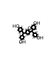 Oc1ccc(C(c2ccc(O)cc2)c2ccc(C(c3ccc(O)cc3)c3ccc(O)cc3)c(Cl)c2)cc1